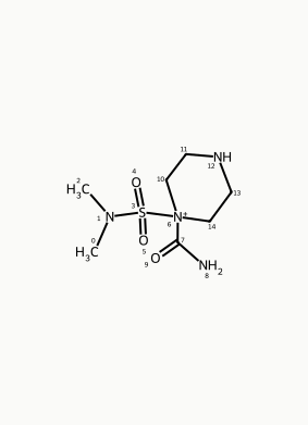 CN(C)S(=O)(=O)[N+]1(C(N)=O)CCNCC1